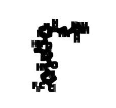 CC(NC(=O)c1cc(NCCNC2=NNNN2)ncn1)c1ncc(C(=O)Nc2cc(C(F)(F)F)c(Cl)cn2)s1